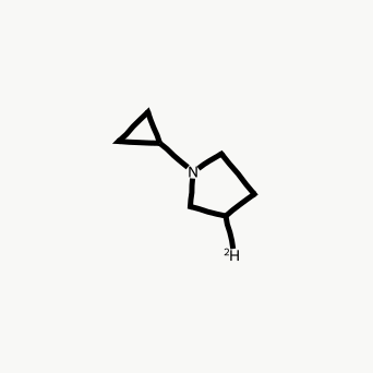 [2H]C1CCN(C2CC2)C1